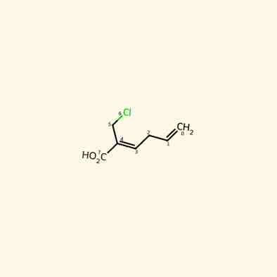 C=CCC=C(CCl)C(=O)O